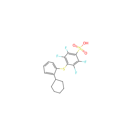 O=S(=O)(O)c1c(F)c(F)c(Sc2ccccc2C2CCCCC2)c(F)c1F